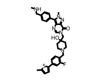 CNCc1ccc(-c2c3ncn(CC4(O)CCN(Cc5ccc(-c6ccc(C)s6)cc5F)CC4)c(=O)c3nn2C)cc1